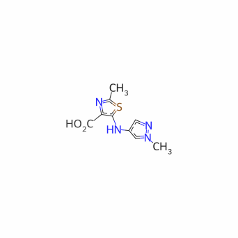 Cc1nc(C(=O)O)c(Nc2cnn(C)c2)s1